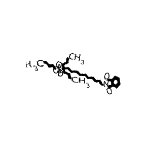 CCCCOS(=O)(=O)C(CCCC)(CCCC)CCCCCCCCCCN1C(=O)c2ccccc2C1=O